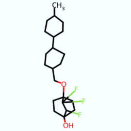 CC1CCC(C2CCC(COC34CCC(O)(CC3)C(F)C4(F)F)CC2)CC1